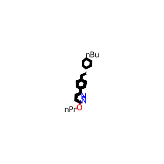 CCCC[C@H]1CC[C@H](CCc2ccc(-c3ccc(OCCC)nn3)cc2)CC1